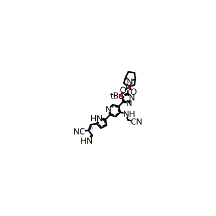 CC(C)(C)OC(=O)N1C2CCC1CN(c1nnc(-c3cnc(-c4ccc(/C=C(/C#N)C=N)[nH]4)cc3NCC#N)s1)C2